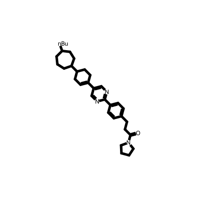 CCCCC1CCCC(C2CC=C(c3cnc(-c4ccc(CCC(=O)N5CCCC5)cc4)nc3)CC2)CC1